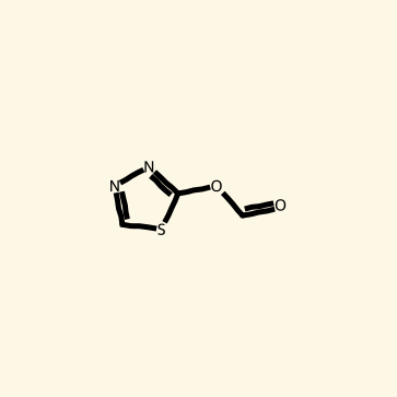 O=COc1nncs1